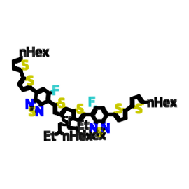 CCCCCCc1ccc(-c2ccc(-c3cc(F)c(-c4cc5c(s4)-c4sc(-c6c(F)cc(-c7ccc(-c8ccc(CCCCCC)s8)s7)c7nsnc67)cc4[Si]5(CC(CC)CCCCCC)CC(CC)CCCCCC)c4nsnc34)s2)s1